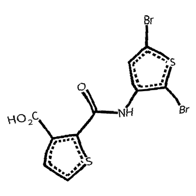 O=C(O)c1ccsc1C(=O)Nc1cc(Br)sc1Br